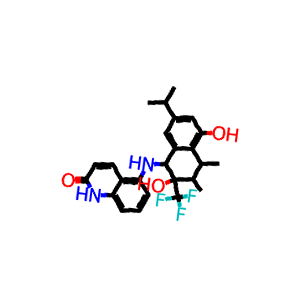 CC(C)c1cc(O)c2c(c1)C(Nc1cccc3[nH]c(=O)ccc13)C(O)(C(F)(F)F)C(C)C2C